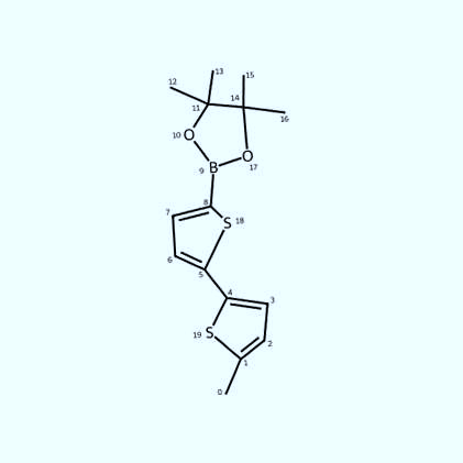 Cc1ccc(-c2ccc(B3OC(C)(C)C(C)(C)O3)s2)s1